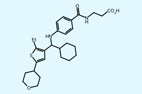 CCc1sc(C2CCOCC2)cc1C(Nc1ccc(C(=O)NCCC(=O)O)cc1)C1CCCCC1